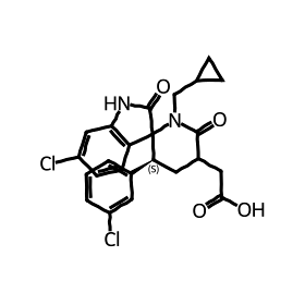 O=C(O)CC1C[C@@H](c2cccc(Cl)c2)C2(C(=O)Nc3cc(Cl)ccc32)N(CC2CC2)C1=O